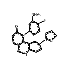 CC(=O)Nc1cc(-n2c(=O)ccc3cnc4ccc(-n5cccn5)cc4c32)ccc1F